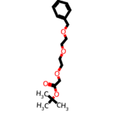 CC(C)(C)OC(=O)COCCOCCOCc1ccccc1